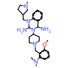 COc1cccc(N(C)C)c1CN1CCC(N2C(N)c3ccccc3N(CC3CCN(C)C3)C2N)CC1